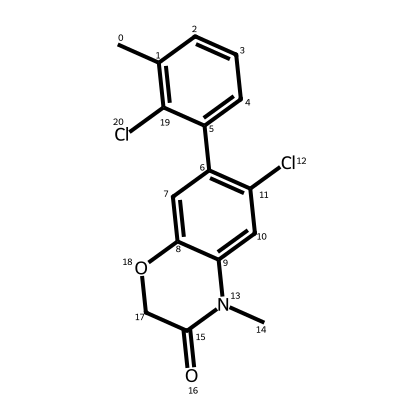 Cc1cccc(-c2cc3c(cc2Cl)N(C)C(=O)CO3)c1Cl